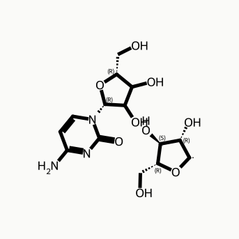 Nc1ccn([C@@H]2O[C@H](CO)C(O)C2O)c(=O)n1.OC[C@H]1O[CH][C@@H](O)[C@@H]1O